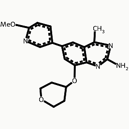 COc1ccc(-c2cc(OC3CCOCC3)c3nc(N)nc(C)c3c2)cn1